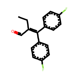 CCC(C=O)=C(c1ccc(F)cc1)c1ccc(F)cc1